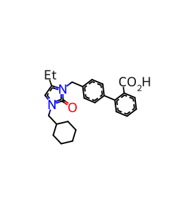 CCc1cn(CC2CCCCC2)c(=O)n1Cc1ccc(-c2ccccc2C(=O)O)cc1